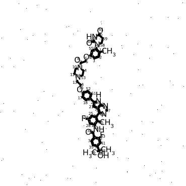 Cc1ccc(OCC(=O)N2CCN(CCOc3ccc(-c4cc5c(-c6cc(F)cc(NC(=O)c7ccc(C(C)(C)O)cc7F)c6C)ncnc5[nH]4)cc3)CC2)cc1N1CCC(=O)NC1=O